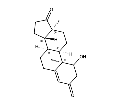 C[C@]12CC[C@@H]3[C@@H](CCC4=CC(=O)CC(O)[C@@]43C)[C@@H]1CCC2=O